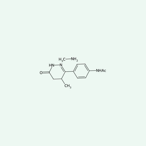 CC(=O)Nc1ccc(C2=NNC(=O)CC2C)cc1.CN